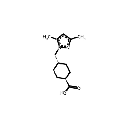 Cc1cc(C)n(C[C@H]2CC[C@H](C(=O)O)CC2)n1